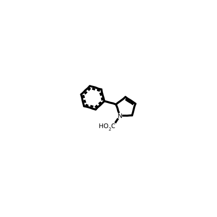 O=C(O)N1CC=CC1c1ccccc1